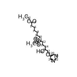 CCOC(=O)CCCCCCN(CCCC(O)COc1cncnc1)S(C)(=O)=O